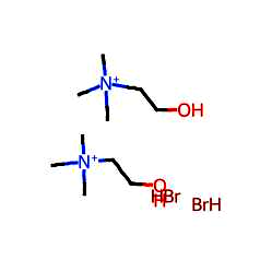 Br.Br.C[N+](C)(C)CCO.C[N+](C)(C)CCO